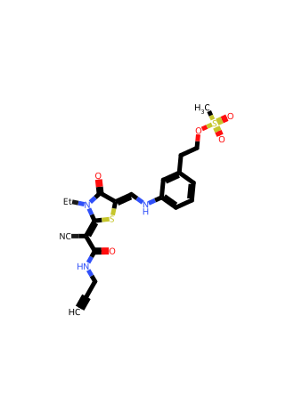 C#CCNC(=O)C(C#N)=c1sc(=CNc2cccc(CCOS(C)(=O)=O)c2)c(=O)n1CC